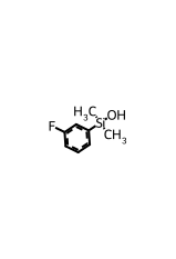 C[Si](C)(O)c1cccc(F)c1